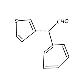 O=CC(c1ccccc1)c1ccsc1